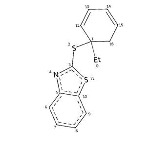 CCC1(Sc2nc3ccccc3s2)C=CC=CC1